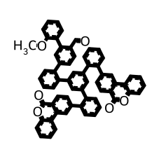 COc1ccccc1-c1cc(-c2ccccc2-c2cc(-c3ccccc3-c3ccc4c(=O)oc5ccccc5c4c3)cc(-c3ccccc3-c3ccc4c(=O)oc5ccccc5c4c3)c2)ccc1C=O